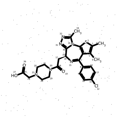 Cc1sc2c(c1C)C(c1ccc(Cl)cc1)=N[C@@H](CC(=O)N1CCN(CC(=O)O)CC1)c1nnc(C)n1-2